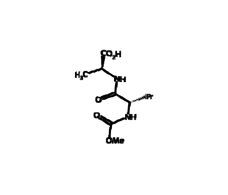 COC(=O)N[C@H](C(=O)N[C@@H](C)C(=O)O)C(C)C